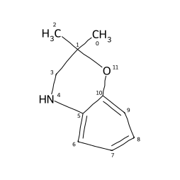 CC1(C)CNc2ccccc2O1